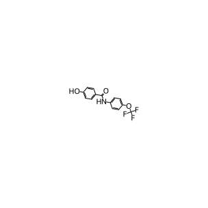 O=C(Nc1ccc(OC(F)(F)F)cc1)c1ccc(O)cc1